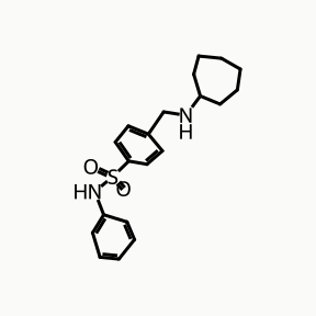 O=S(=O)(Nc1ccccc1)c1ccc(CNC2CCCCCC2)cc1